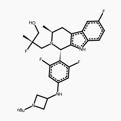 CCCCN1CC(Nc2cc(F)c([C@H]3c4[nH]c5ccc(F)cc5c4C[C@H](C)N3C[C@](C)(F)CO)c(F)c2)C1